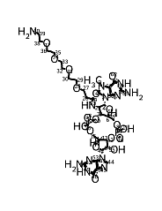 CN1CN([C@@H]2O[C@@H]3COP(=O)(O)OC4[C@@H](COP(=O)(O)OC3[C@@H]2NC(=O)CCOCCOCCOCCOCCN)O[C@@H](n2cnc3c(=O)[nH]c(N)nc32)[C@H]4O)c2nc(N)[nH]c(=O)c21